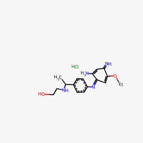 CCOC1=CC(=Nc2ccc(C(C)NCCO)cc2)C(N)=CC1=N.Cl